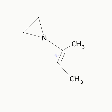 C/C=C(\C)N1CC1